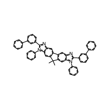 CC1(C)c2cc3c(cc2-c2cc4nc(-c5cccc(-c6ccccc6)c5)n(-c5ccccc5)c4cc21)nc(-c1cccc(-c2ccccc2)c1)n3-c1ccccc1